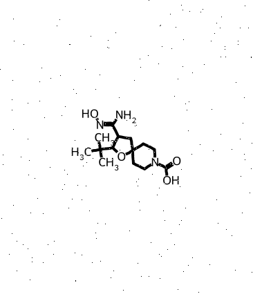 CC(C)(C)C1OC2(CCN(C(=O)O)CC2)CC1C(N)=NO